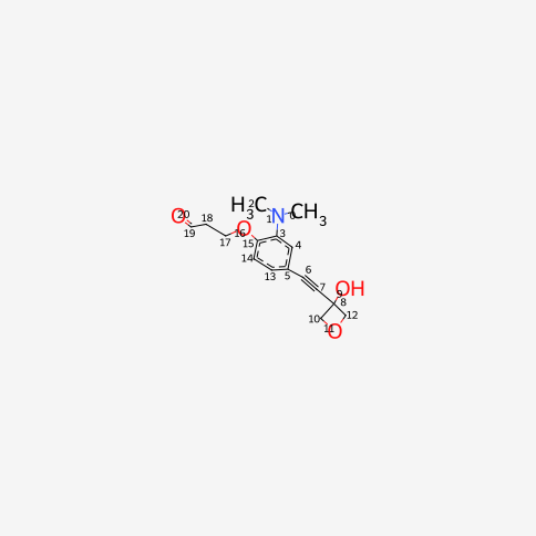 CN(C)c1cc(C#CC2(O)COC2)ccc1OCCC=O